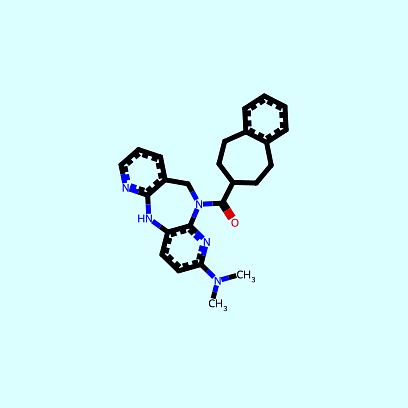 CN(C)c1ccc2c(n1)N(C(=O)C1CCc3ccccc3CC1)Cc1cccnc1N2